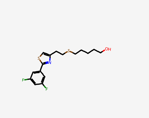 OCCCCCSCCc1csc(-c2cc(F)cc(F)c2)n1